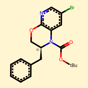 CC(C)(C)OC(=O)N1c2cc(Br)cnc2OC[C@@H]1Cc1ccccc1